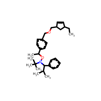 CCC1C=CC(COCc2ccc(C(C)ON(C(c3ccccc3)C(C)C)C(C)(C)C)cc2)C1